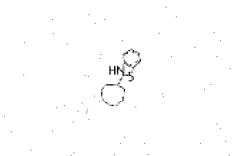 c1ccc2c(c1)NC(C1CCCCCCC1)S2